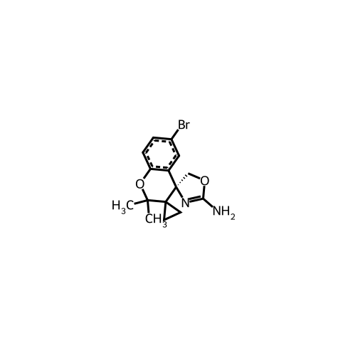 CC1(C)Oc2ccc(Br)cc2[C@]2(COC(N)=N2)C12CC2